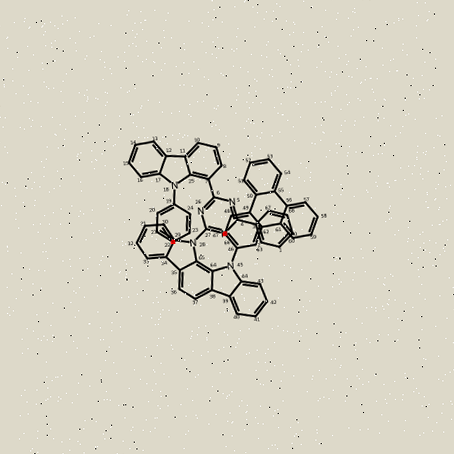 c1ccc(-c2nc(-c3cccc4c5ccccc5n(-c5ccccc5)c34)nc(-n3c4ccccc4c4ccc5c6ccccc6n(-c6ccc7c8ccccc8c8ccccc8c7c6)c5c43)n2)cc1